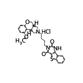 COc1cccc2c1[C@@H]1CN(CCCCn3c(=O)[nH]c4c(sc5ccccc54)c3=O)C[C@H]1CO2.Cl